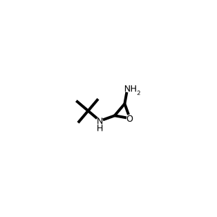 CC(C)(C)NC1OC1N